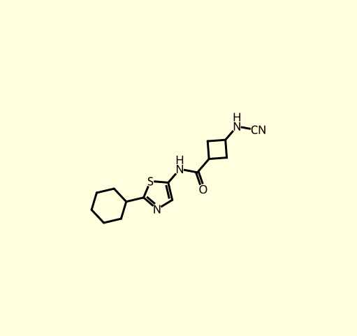 N#CNC1CC(C(=O)Nc2cnc(C3CCCCC3)s2)C1